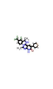 Cc1nc(N[C@H](C)c2cccc(C(F)F)c2F)c2cc(C3CCSCC3)c(=O)[nH]c2n1